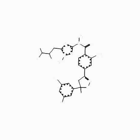 Cc1cc(C2=NOC(c3cc(Cl)cc(Cl)c3)(C(F)(F)F)C2)ccc1C(=O)N(C#N)c1nc(CC(F)C(F)F)n(C#N)n1